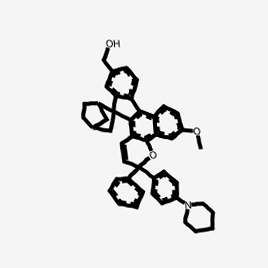 COc1ccc2c3c(c4c(c2c1)OC(c1ccccc1)(c1ccc(N2CCCCC2)cc1)C=C4)C1(CC2CCC1C2)c1cc(CO)ccc1-3